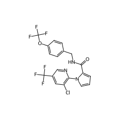 O=C(NCc1ccc(OC(F)(F)F)cc1)c1cccn1-c1ncc(C(F)(F)F)cc1Cl